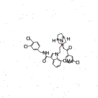 COc1cccc2c(C(=O)NCc3ccc(Cl)c(Cl)c3)cn(CCCN3[C@@H]4CC[C@H]3C[C@@H](CC(=O)c3cccc(Cl)c3)C4)c12